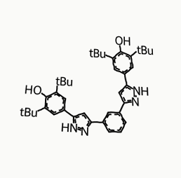 CC(C)(C)c1cc(-c2cc(-c3cccc(-c4cc(-c5cc(C(C)(C)C)c(O)c(C(C)(C)C)c5)[nH]n4)c3)n[nH]2)cc(C(C)(C)C)c1O